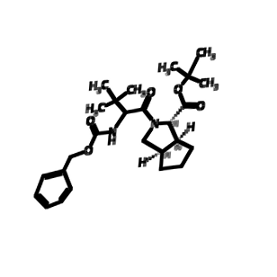 CC(C)(C)OC(=O)[C@@H]1[C@H]2CCC[C@H]2CN1C(=O)C(NC(=O)OCc1ccccc1)C(C)(C)C